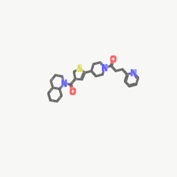 O=C(CCc1ccccn1)N1CCC(C2=CC(C(=O)N3CCCC4CCCCC43)CS2)CC1